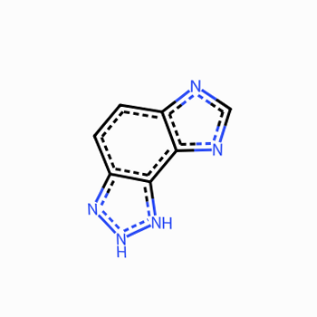 c1nc2ccc3n[nH][nH]c3c2n1